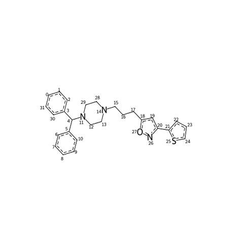 c1ccc(C(c2ccccc2)N2CCN(CCCc3cc(-c4cccs4)no3)CC2)cc1